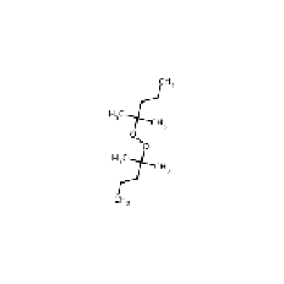 CCCC(C)(C)OOC(C)(C)CCC